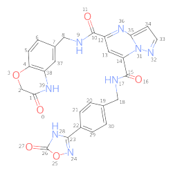 O=C1COc2ccc(CNC(=O)c3cc(C(=O)NCc4ccc(-c5noc(=O)[nH]5)cc4)n4nccc4n3)cc2N1